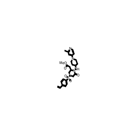 C=Cc1ccc(S(=O)(=O)N2CC(=O)N(NC3CCN(c4ccnc(C)c4)CC3)C(CC(=O)OC)C2)cc1